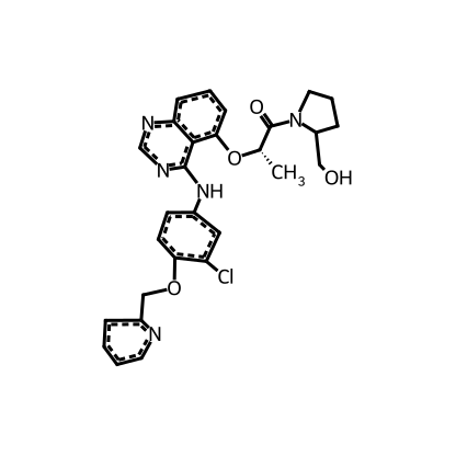 C[C@H](Oc1cccc2ncnc(Nc3ccc(OCc4ccccn4)c(Cl)c3)c12)C(=O)N1CCCC1CO